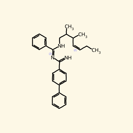 CC/C=C\C(C)C(C)CN/C(=N\C(=N)c1ccc(-c2ccccc2)cc1)c1ccccc1